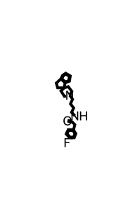 O=C(Cc1ccc(F)cc1)NCCCCN1CCC2(CCc3ccccc32)CC1